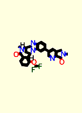 CN1Cc2cc(-c3ccc4nc5n(c4c3)[C@@H]3C[C@H]5N(C)C(=O)c4cccc(OC(F)F)c43)cnc2C1=O